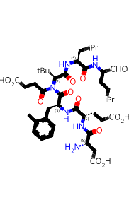 Cc1ccccc1C[C@H](NC(=O)[C@H](CCC(=O)O)NC(=O)[C@@H](N)CC(=O)O)C(=O)N(C(=O)CCC(=O)O)[C@H](C(=O)N[C@@H](CC(C)C)C(=O)NC(C=O)CCC(C)C)C(C)(C)C